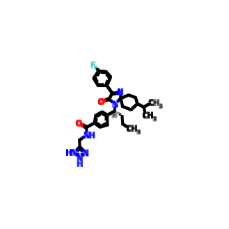 CCC[C@H](c1ccc(C(=O)NCc2n[nH][nH]2)cc1)N1C(=O)C(c2ccc(F)cc2)=NC12CCC(C(C)C)CC2